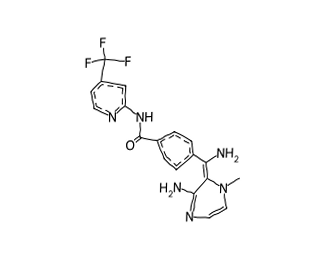 CN1C=CN=C(N)/C1=C(/N)c1ccc(C(=O)Nc2cc(C(F)(F)F)ccn2)cc1